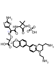 CC(O/N=C(\C(=O)NC1C(=O)N(OS(=O)(=O)O)C1(C)C)c1csc(N)n1)(C(=O)O)[C@H]1CCc2cc(-c3ccc4[n+](c3)CC(CN)CN4CCN)ccc2O1